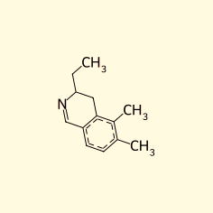 CCC1Cc2c(ccc(C)c2C)C=N1